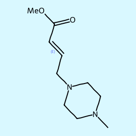 COC(=O)/C=C/CN1CCN(C)CC1